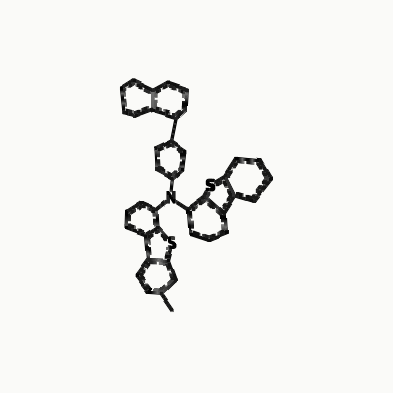 Cc1ccc2c(c1)sc1c(N(c3ccc(-c4cccc5ccccc45)cc3)c3cccc4c3sc3ccccc34)cccc12